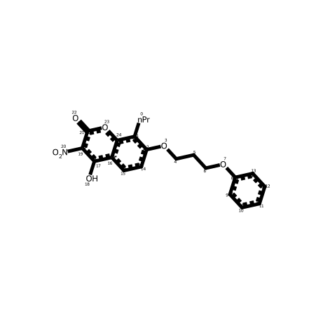 CCCc1c(OCCCOc2ccccc2)ccc2c(O)c([N+](=O)[O-])c(=O)oc12